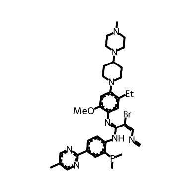 C=N/C=C(Br)\C(=N/c1cc(CC)c(N2CCC(N3CCN(C)CC3)CC2)cc1OC)Nc1ccc(-c2ncc(C)cn2)cc1P(C)C